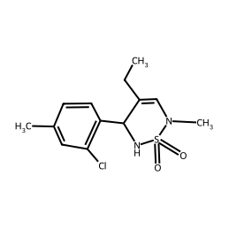 CCC1=CN(C)S(=O)(=O)NC1c1ccc(C)cc1Cl